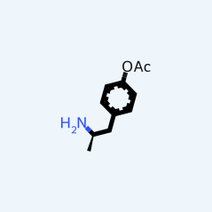 CC(=O)Oc1ccc(C[C@@H](C)N)cc1